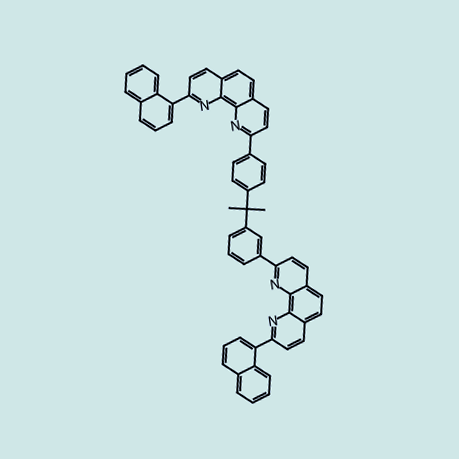 CC(C)(c1ccc(-c2ccc3ccc4ccc(-c5cccc6ccccc56)nc4c3n2)cc1)c1cccc(-c2ccc3ccc4ccc(-c5cccc6ccccc56)nc4c3n2)c1